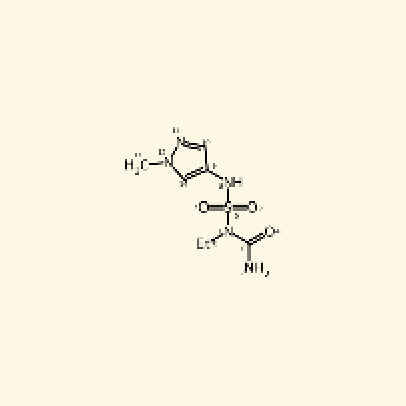 CCN(C(N)=O)S(=O)(=O)Nc1cnn(C)c1